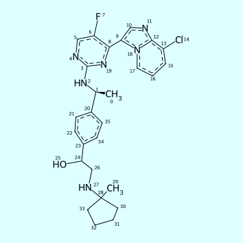 C[C@H](Nc1ncc(F)c(-c2cnc3c(Cl)cccn23)n1)c1ccc(C(O)CNC2(C)CCCC2)cc1